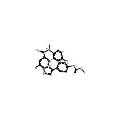 COC(=O)Nc1ccc(-c2cnc3c(C)cc(C(=O)N(C)c4ccc(Cl)cc4)cn23)cc1